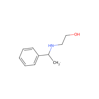 [CH2]C(NCCO)c1ccccc1